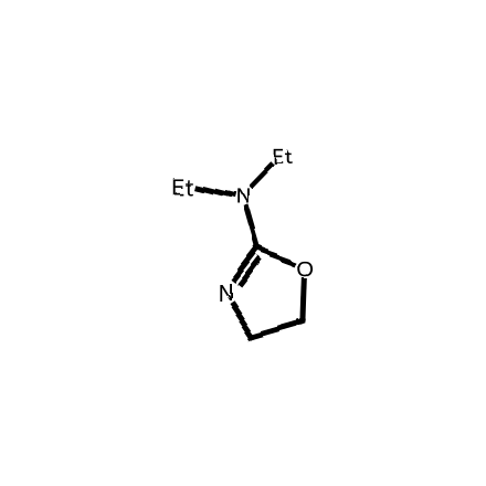 CCN(CC)C1=NCCO1